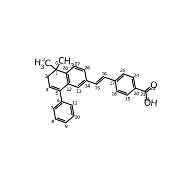 CC1(C)CC=C(c2ccccc2)c2cc(/C=C/c3ccc(C(=O)O)cc3)ccc21